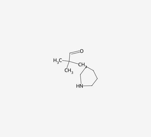 C1CCNCC1.CC(C)(C)C=O